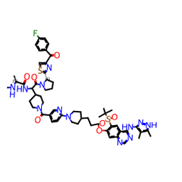 CN[C@@H](C)C(=O)NC(C(=O)N1CCC[C@H]1c1nc(C(=O)c2ccc(F)cc2)cs1)C1CCN(C(=O)c2ccc(N3CCC(CCCOc4cc5ncnc(Nc6n[nH]c(C)c6C)c5cc4S(=O)(=O)C(C)(C)C)CC3)nc2)CC1